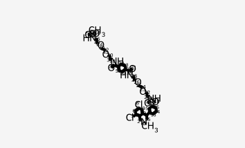 CN1Cc2c(Cl)cc(Cl)cc2C(c2cccc(S(=O)(=O)NCCOCCOCCNC(=O)c3ccc(C(=O)NCCOCCOCCNS(C)(=O)=O)cc3)c2)C1